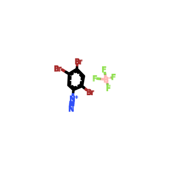 F[B-](F)(F)F.N#[N+]c1cc(Br)c(Br)cc1Br